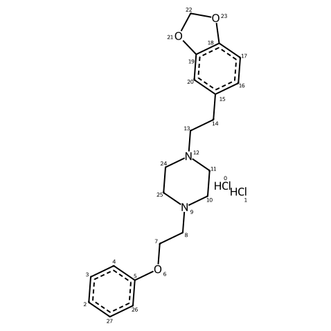 Cl.Cl.c1ccc(OCCN2CCN(CCc3ccc4c(c3)OCO4)CC2)cc1